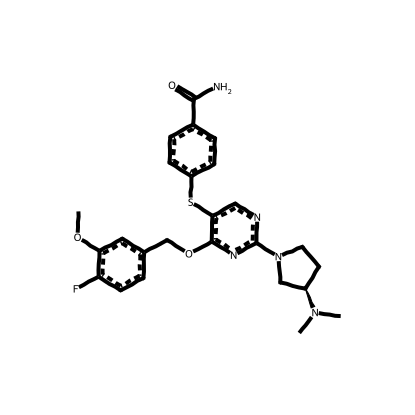 COc1cc(COc2nc(N3CC[C@@H](N(C)C)C3)ncc2Sc2ccc(C(N)=O)cc2)ccc1F